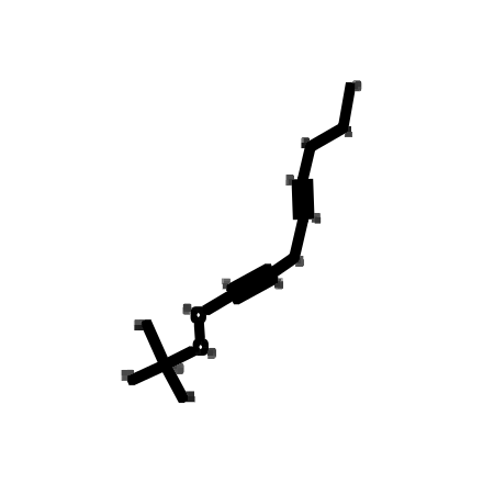 CCCC#CCC#COOC(C)(C)C